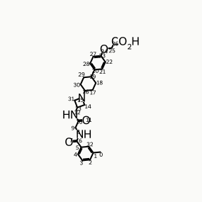 Cc1cccc(C(=O)NCC(=O)NC2CN(C3CCC(c4ccc(OCC(=O)O)cc4)CC3)C2)c1